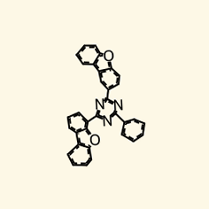 c1ccc(-c2nc(-c3ccc4oc5ccccc5c4c3)nc(-c3cccc4c3oc3ccccc34)n2)cc1